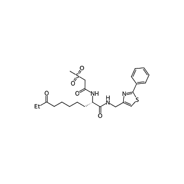 CCC(=O)CCCCC[C@H](NC(=O)CS(C)(=O)=O)C(=O)NCc1csc(-c2ccccc2)n1